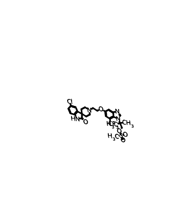 CC(C)(COS(C)(=O)=O)n1cnc2cc(OCCN3CCC4(CC3)C(=O)Nc3ccc(Cl)cc34)cc(C(F)(F)F)c21